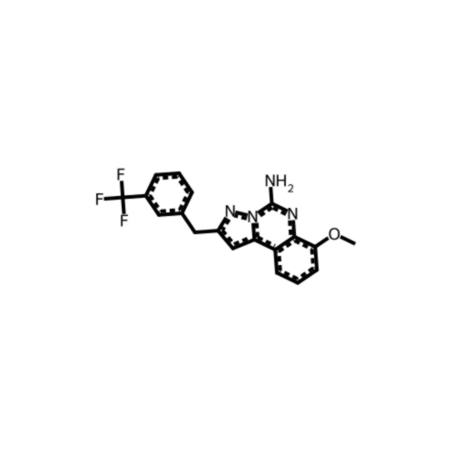 COc1cccc2c1nc(N)n1nc(Cc3cccc(C(F)(F)F)c3)cc21